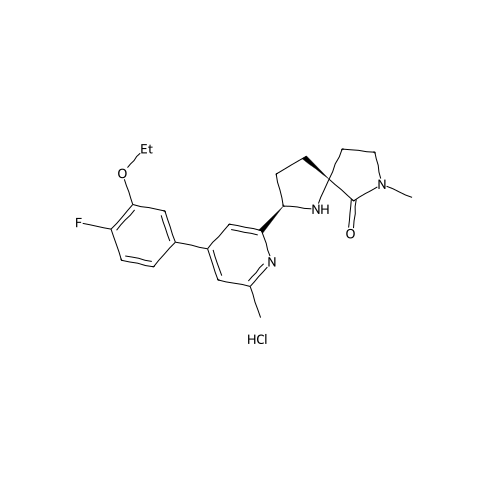 CCOc1cc(-c2cc(C)nc([C@H]3CC[C@]4(CCN(C)C4=O)N3)c2)ccc1F.Cl